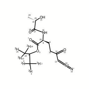 [2H]C([2H])([2H])C(OC(=O)[C@H](CCC(=O)C=[N+]=[N-])NC(=O)[C@H](C)O)C([2H])([2H])[2H]